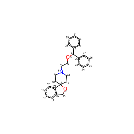 c1ccc(C(OCCN2CCC3(CC2)OCc2ccccc23)c2ccccc2)cc1